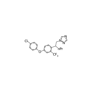 CCCC(Cn1cncn1)c1ccc(Oc2ccc(Cl)cc2)cc1C(F)(F)F